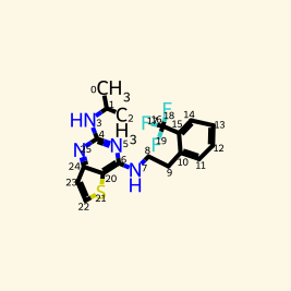 CC(C)Nc1nc(NCCc2ccccc2C(F)(F)F)c2sccc2n1